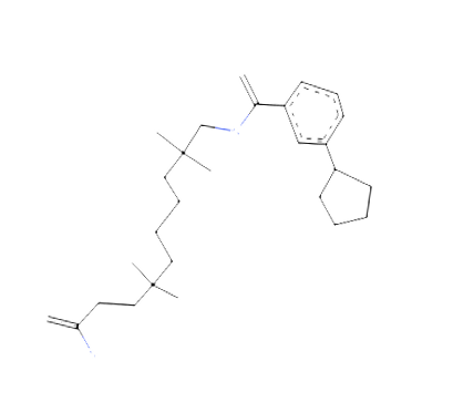 C=C(N)CCC(C)(C)CCCCC(C)(C)CNC(=C)c1cccc(C2CCCC2)c1